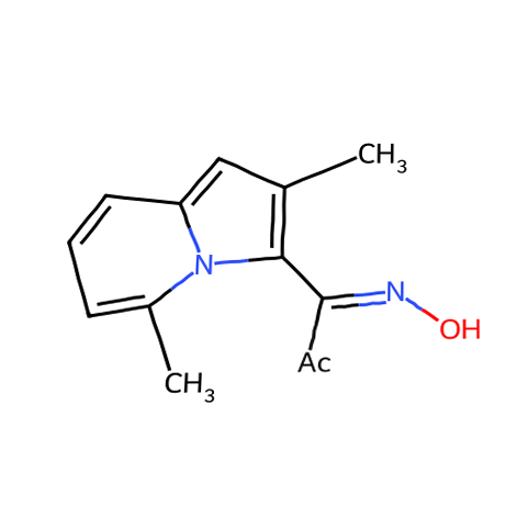 CC(=O)/C(=N\O)c1c(C)cc2cccc(C)n12